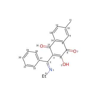 CCN=C(C1=C(O)C(=O)c2cc(C)ccc2C1=O)c1ccccc1